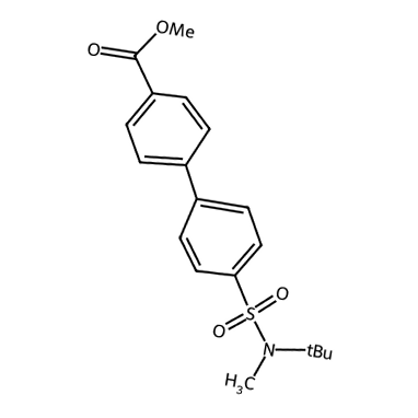 COC(=O)c1ccc(-c2ccc(S(=O)(=O)N(C)C(C)(C)C)cc2)cc1